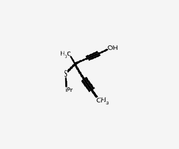 CC#CC(C)(C#CO)SC(C)C